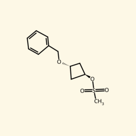 CS(=O)(=O)O[C@H]1C[C@H](OCc2ccccc2)C1